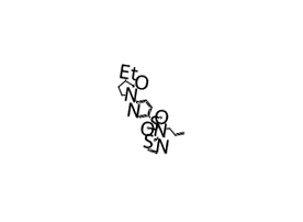 C=CCN(c1nccs1)S(=O)(=O)c1ccc(N2CC[C@H](CC)C2=O)nc1